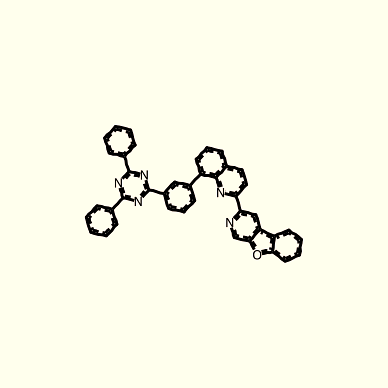 c1ccc(-c2nc(-c3ccccc3)nc(-c3cccc(-c4cccc5ccc(-c6cc7c(cn6)oc6ccccc67)nc45)c3)n2)cc1